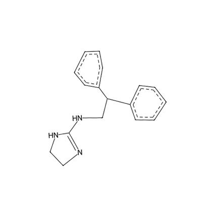 c1ccc(C(CNC2=NCCN2)c2ccccc2)cc1